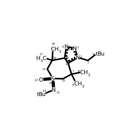 CC(C)(C)Cn1nnc2c1C(C)(C)CS(=O)(=NC(C)(C)C)CC2(C)C